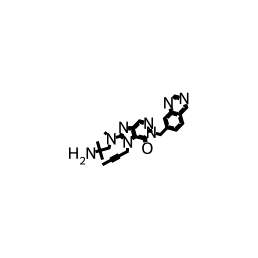 CC#CCn1c(N(C)CC(C)(C)N)nc2cnn(Cc3ccc4cncnc4c3)c(=O)c21